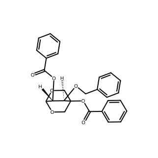 O=C(O[C@H]1C2OCC(OC(=O)c3ccccc3)(CO2)[C@@H]1OCc1ccccc1)c1ccccc1